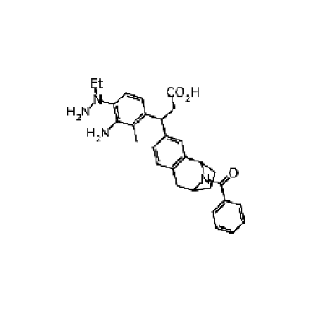 CCN(N)c1ccc(C(CC(=O)O)c2ccc3c(c2)C2CCC(C3)N2C(=O)c2ccccc2)c(C)c1N